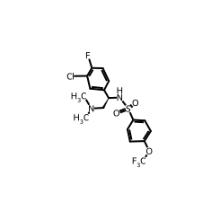 CN(C)C[C@H](NS(=O)(=O)c1ccc(OC(F)(F)F)cc1)c1ccc(F)c(Cl)c1